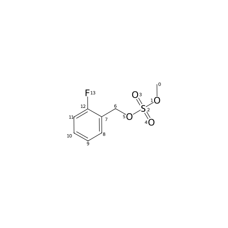 COS(=O)(=O)OCc1ccccc1F